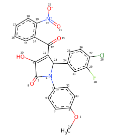 COc1ccc(N2C(=O)C(O)=C(C(=O)c3ccccc3[N+](=O)[O-])C2c2ccc(Cl)c(F)c2)cc1